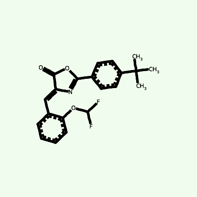 CC(C)(C)c1ccc(C2=N/C(=C\c3ccccc3OC(F)F)C(=O)O2)cc1